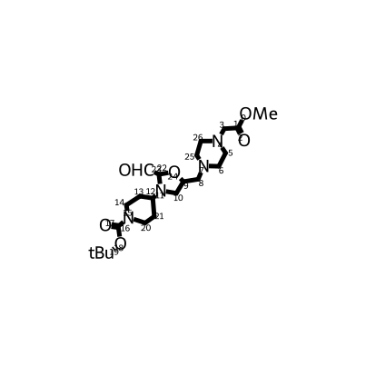 COC(=O)CN1CCN(CC2CN(C3CCN(C(=O)OC(C)(C)C)CC3)C(C=O)O2)CC1